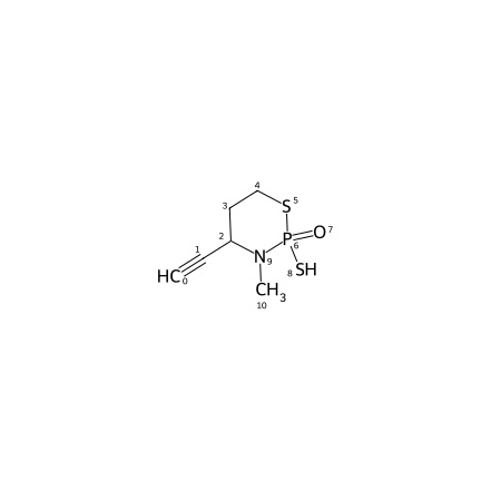 C#CC1CCSP(=O)(S)N1C